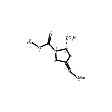 CO/N=C1\C[C@@H](C(=O)O)N(C(=O)OC(C)(C)C)C1